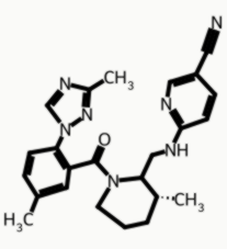 Cc1ccc(-n2cnc(C)n2)c(C(=O)N2CCC[C@@H](C)C2CNc2ccc(C#N)cn2)c1